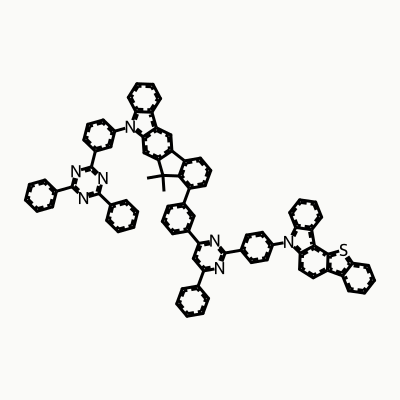 CC1(C)c2cc3c(cc2-c2cccc(-c4cccc(-c5cc(-c6ccccc6)nc(-c6ccc(-n7c8ccccc8c8c9sc%10ccccc%10c9ccc87)cc6)n5)c4)c21)c1ccccc1n3-c1cccc(-c2nc(-c3ccccc3)nc(-c3ccccc3)n2)c1